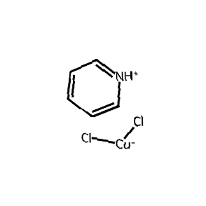 [Cl][Cu-][Cl].c1cc[nH+]cc1